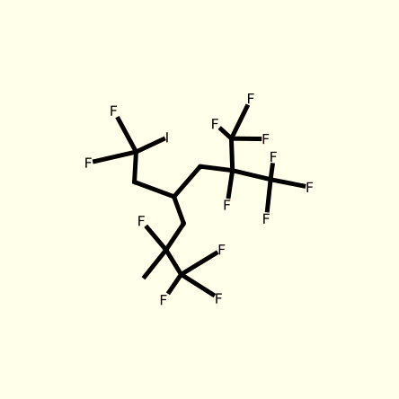 CC(F)(CC(CC(F)(F)I)CC(F)(C(F)(F)F)C(F)(F)F)C(F)(F)F